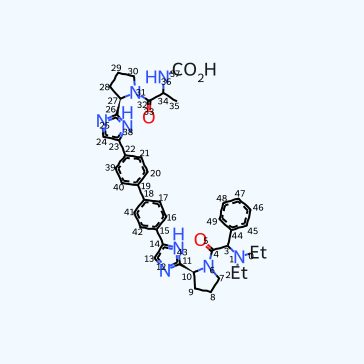 CCN(CC)C(C(=O)N1CCC[C@H]1c1ncc(-c2ccc(-c3ccc(-c4cnc([C@H]5CCCN5C(=O)C(C)NC(=O)O)[nH]4)cc3)cc2)[nH]1)c1ccccc1